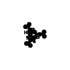 CSN1c2cc3c(cc2B2c4cc5c(cc4N(SC)c4cc(-n6c7ccccc7c7ccccc76)cc1c42)Oc1cc(-n2c4ccccc4c4ccccc42)cc2c1B5c1ccccc1O2)B1c2ccccc2Oc2cc(-n4c5ccccc5c5ccccc54)cc(c21)N3